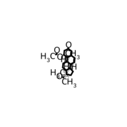 CC(=O)OC1CC(=O)C=C2C=C[C@H]3[C@@H]4CC[C@H](C(C)=O)[C@@]4(C)CC[C@@H]3[C@]21C